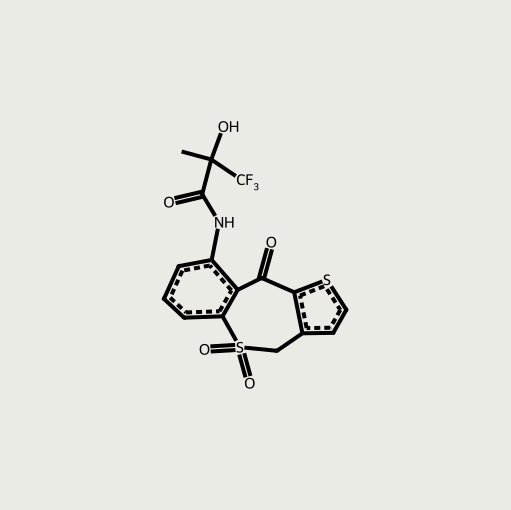 CC(O)(C(=O)Nc1cccc2c1C(=O)c1sccc1CS2(=O)=O)C(F)(F)F